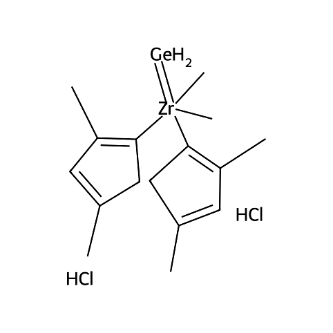 CC1=CC(C)=[C]([Zr]([CH3])([CH3])(=[GeH2])[C]2=C(C)C=C(C)C2)C1.Cl.Cl